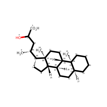 C[C@H](CC(O)C(=O)O)[C@H]1CC[C@H]2[C@@H]3CC[C@@H]4CCCC[C@]4(C)[C@H]3CC[C@]12C